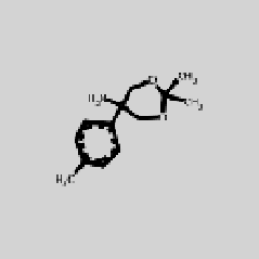 Cc1ccc(C2(N)COC(C)(C)OC2)cc1